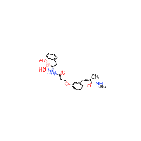 CC(C)(C)NC(=O)C(C#N)=Cc1cccc(OCCC(=O)NC(Cc2ccccc2)B(O)O)c1